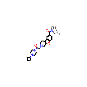 CN(C)C(=O)c1ccc2oc3c(c2c1)CCN(CC(=O)N1CCN(C2CCC2)CC1)C3